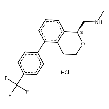 CNC[C@H]1OCCc2c(-c3ccc(C(F)(F)F)cc3)cccc21.Cl